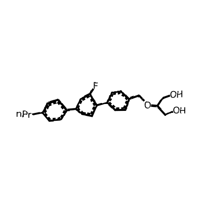 CCCc1ccc(-c2ccc(-c3ccc(COC(CO)CO)cc3)c(F)c2)cc1